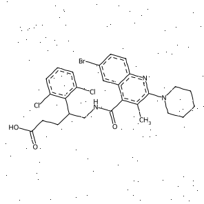 Cc1c(N2CCCCC2)nc2ccc(Br)cc2c1C(=O)NCC(CCC(=O)O)c1c(Cl)cccc1Cl